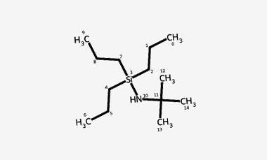 CCC[Si](CCC)(CCC)NC(C)(C)C